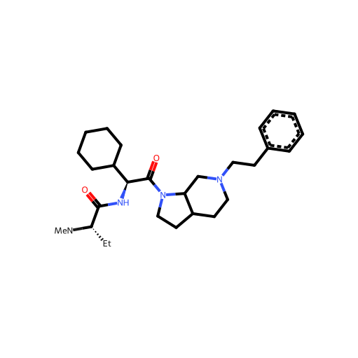 CC[C@H](NC)C(=O)N[C@H](C(=O)N1CCC2CCN(CCc3ccccc3)CC21)C1CCCCC1